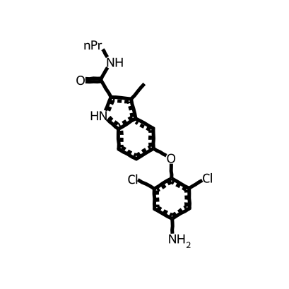 CCCNC(=O)c1[nH]c2ccc(Oc3c(Cl)cc(N)cc3Cl)cc2c1C